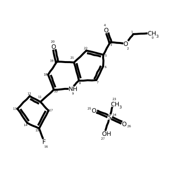 CCOC(=O)c1ccc2[nH]c(-c3cccc(F)c3)cc(=O)c2c1.CS(=O)(=O)O